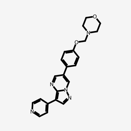 c1cc(-c2cnn3cc(-c4ccc(OCN5CCOCC5)cc4)cnc23)ccn1